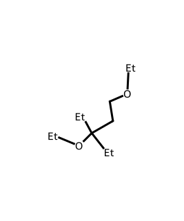 CCOCCC(CC)(CC)OCC